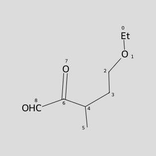 CCOCCC(C)C(=O)C=O